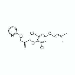 C=C(COc1ccccn1)COc1c(Cl)cc(OCC=C(C)C)cc1Cl